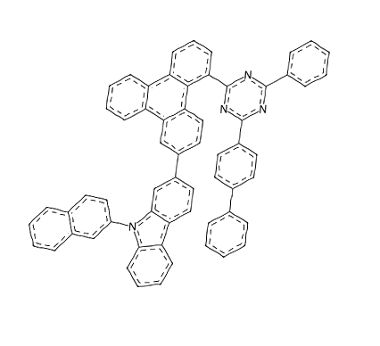 c1ccc(-c2ccc(-c3nc(-c4ccccc4)nc(-c4cccc5c6ccccc6c6cc(-c7ccc8c9ccccc9n(-c9ccc%10ccccc%10c9)c8c7)ccc6c45)n3)cc2)cc1